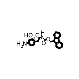 Nc1ccc(C[C@@H](NC(=O)OCC2c3ccccc3-c3ccccc32)C(=O)O)cc1